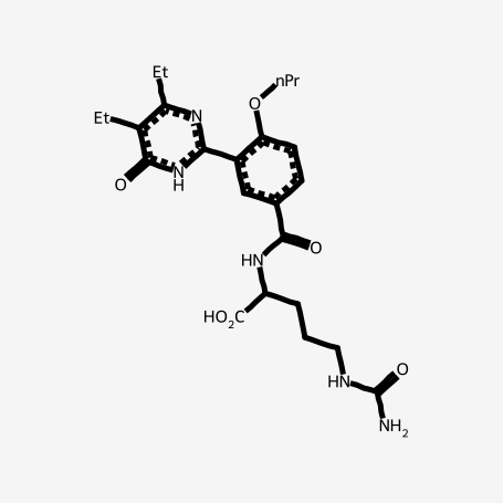 CCCOc1ccc(C(=O)NC(CCCNC(N)=O)C(=O)O)cc1-c1nc(CC)c(CC)c(=O)[nH]1